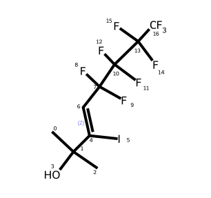 CC(C)(O)/C(I)=C/C(F)(F)C(F)(F)C(F)(F)C(F)(F)F